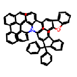 c1ccc(-c2cccc3cccc(-c4ccccc4N(c4ccc5c(c4)C(c4ccccc4)(c4ccccc4)c4ccccc4-5)c4ccccc4-c4ccc5oc6ccccc6c5c4)c23)cc1